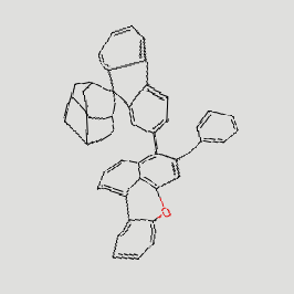 c1ccc(-c2cc3c4c(cccc4c2-c2ccc4c(c2)C2(c5ccccc5-4)C4CC5CC(C4)CC2C5)-c2ccccc2O3)cc1